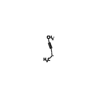 [CH2]C#C[CH]C